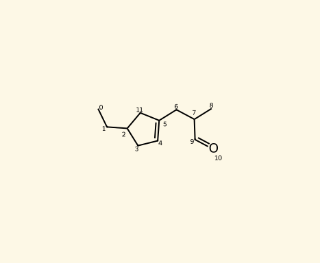 CCC1CC=C(CC(C)C=O)C1